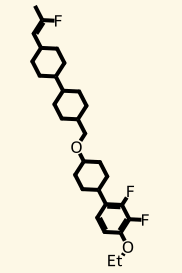 CCOc1ccc(C2CCC(OCC3CCC(C4CCC(/C=C(/C)F)CC4)CC3)CC2)c(F)c1F